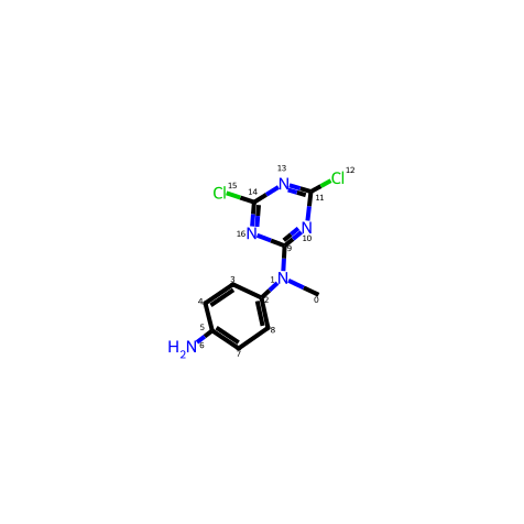 CN(c1ccc(N)cc1)c1nc(Cl)nc(Cl)n1